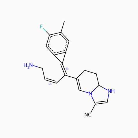 Cc1cc2c(cc1F)/C2=C(\C=C/CN)C1=CN2C(C#N)=CNC2CC1